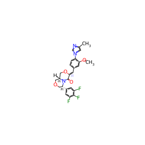 COc1cc(/C=C2\OC[C@H]3COC[C@@H](c4cc(F)c(F)c(F)c4)N3C2=O)ccc1-n1cnc(C)c1